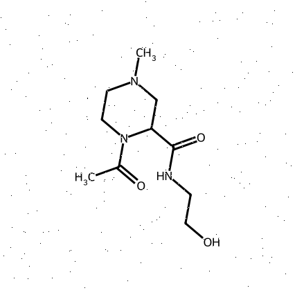 CC(=O)N1CCN(C)CC1C(=O)NCCO